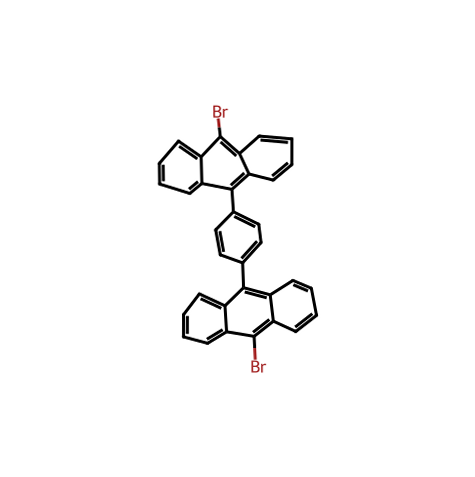 Brc1c2ccccc2c(-c2ccc(-c3c4ccccc4c(Br)c4ccccc34)cc2)c2ccccc12